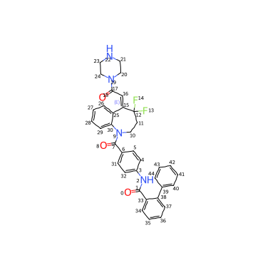 O=C(Nc1ccc(C(=O)N2CCC(F)(F)/C(=C/C(=O)N3CCNCC3)c3ccccc32)cc1)c1ccccc1-c1ccccc1